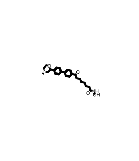 CN1CCOC(c2ccc(-c3ccc(C(=O)CCCCCCC(=O)NO)cc3)cc2)C1